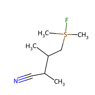 CC(C#N)C(C)CS(C)(C)F